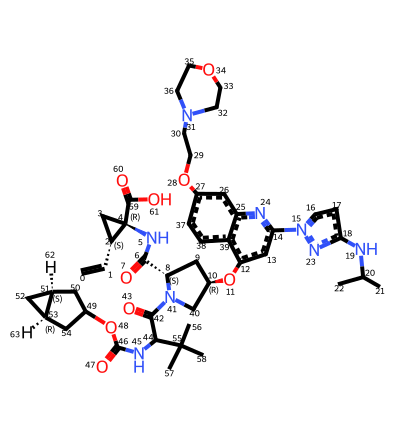 C=C[C@@H]1C[C@]1(NC(=O)[C@@H]1C[C@@H](Oc2cc(-n3ccc(NC(C)C)n3)nc3cc(OCCN4CCOCC4)ccc23)CN1C(=O)C(NC(=O)OC1C[C@@H]2C[C@@H]2C1)C(C)(C)C)C(=O)O